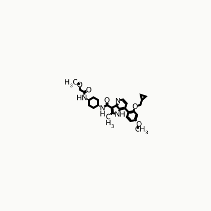 COCC(=O)N[C@H]1CC[C@H](NC(=O)c2c(C)[nH]c3c(-c4ccc(OC)cc4OCC4CC4)ccnc23)CC1